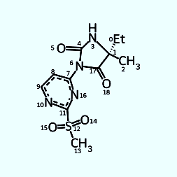 CC[C@@]1(C)NC(=O)N(c2ccnc(S(C)(=O)=O)n2)C1=O